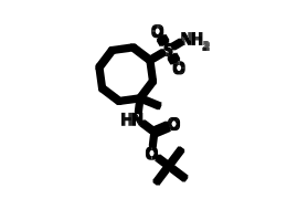 CC1(NC(=O)OC(C)(C)C)CCCCCC(S(N)(=O)=O)C1